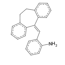 Nc1ccccc1C=C1c2ccccc2CCc2ccccc21